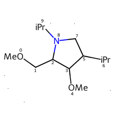 COCC1C(OC)C(C(C)C)CN1C(C)C